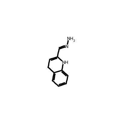 NN=CC1=CCc2ccccc2N1